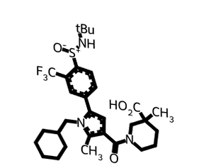 Cc1c(C(=O)N2CCCC(C)(C(=O)O)C2)cc(-c2ccc([S+]([O-])NC(C)(C)C)c(C(F)(F)F)c2)n1CC1CCCCC1